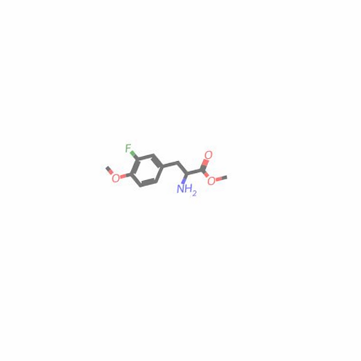 COC(=O)C(N)Cc1ccc(OC)c(F)c1